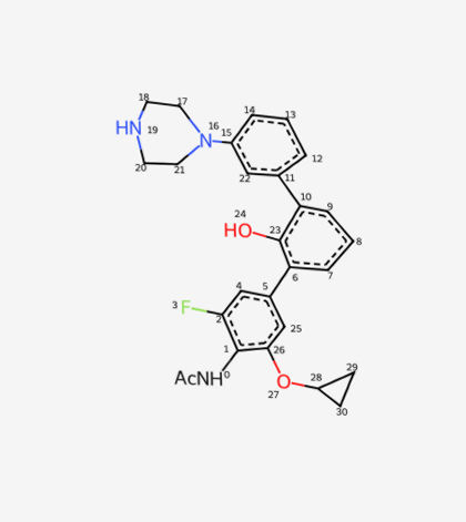 CC(=O)Nc1c(F)cc(-c2cccc(-c3cccc(N4CCNCC4)c3)c2O)cc1OC1CC1